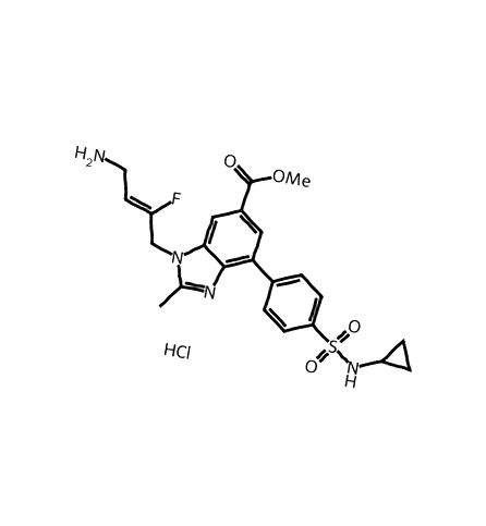 COC(=O)c1cc(-c2ccc(S(=O)(=O)NC3CC3)cc2)c2nc(C)n(CC(F)=CCN)c2c1.Cl